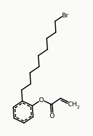 C=CC(=O)Oc1ccccc1CCCCCCCCCBr